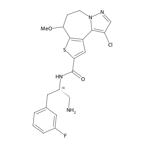 COC1CCn2ncc(Cl)c2-c2cc(C(=O)N[C@H](CN)Cc3cccc(F)c3)sc21